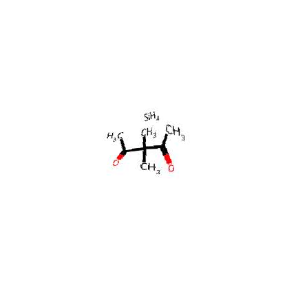 CC(=O)C(C)(C)C(C)=O.[SiH4]